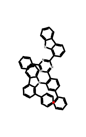 c1ccc(-c2ccc(-c3nc(-c4ccccc4)nc(-c4cccc5c4oc4ccccc45)n3)c(-n3c4ccccc4c4cccc(-c5ccccc5)c43)c2)cc1